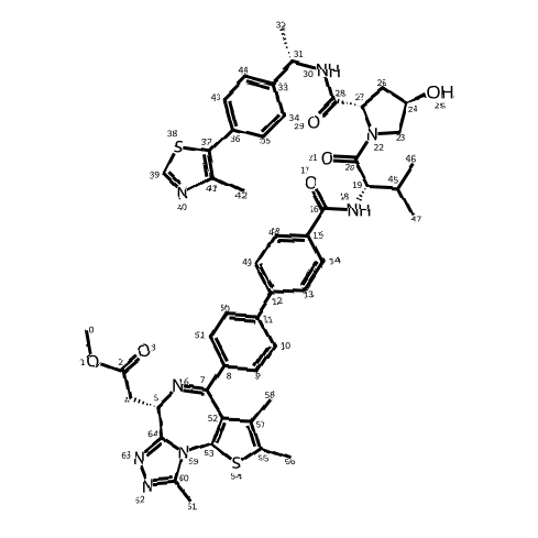 COC(=O)C[C@@H]1N=C(c2ccc(-c3ccc(C(=O)N[C@H](C(=O)N4C[C@H](O)C[C@H]4C(=O)N[C@@H](C)c4ccc(-c5scnc5C)cc4)C(C)C)cc3)cc2)c2c(sc(C)c2C)-n2c(C)nnc21